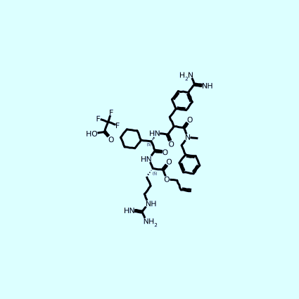 C=CCOC(=O)[C@H](CCCNC(=N)N)NC(=O)[C@@H](NC(=O)C(Cc1ccc(C(=N)N)cc1)C(=O)N(C)Cc1ccccc1)C1CCCCC1.O=C(O)C(F)(F)F